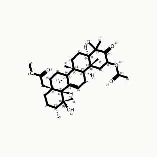 COC(=O)C[C@]12CC[C@@H](C)[C@@](C)(O)[C@H]1C1=CC[C@@H]3[C@@]4(C)CC(OC(C)=O)C(=O)C(C)(C)[C@@H]4CC[C@@]3(C)[C@]1(C)CC2